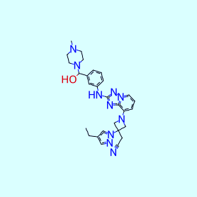 CCc1cnn(C2(CC#N)CN(c3cccn4nc(Nc5cccc(C(O)N6CCN(C)CC6)c5)nc34)C2)c1